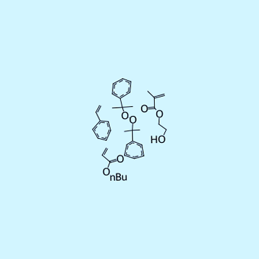 C=C(C)C(=O)OCCO.C=CC(=O)OCCCC.C=Cc1ccccc1.CC(C)(OOC(C)(C)c1ccccc1)c1ccccc1